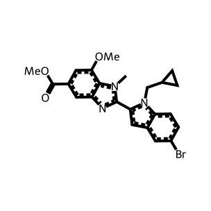 COC(=O)c1cc(OC)c2c(c1)nc(-c1cc3cc(Br)ccc3n1CC1CC1)n2C